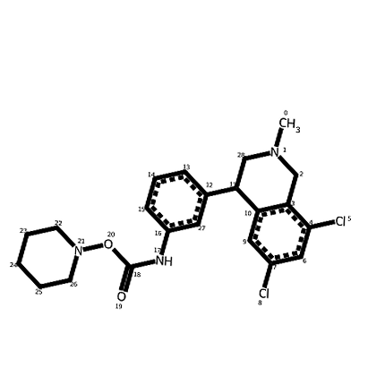 CN1Cc2c(Cl)cc(Cl)cc2C(c2cccc(NC(=O)ON3CCCCC3)c2)C1